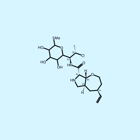 C=C[C@@H]1CCO[C@@H]2[C@H](CN[C@@H]2C(=O)N[C@@H](C2OC(SC)C(O)C(O)C2O)[C@H](C)Cl)C1